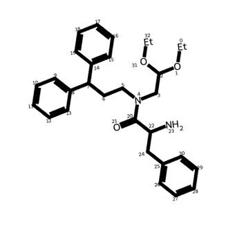 CCOC(CN(CCC(c1ccccc1)c1ccccc1)C(=O)C(N)Cc1ccccc1)OCC